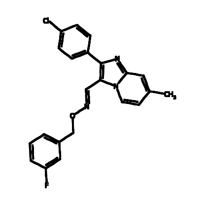 Cc1ccn2c(C=NOCc3cccc(F)c3)c(-c3ccc(Cl)cc3)nc2c1